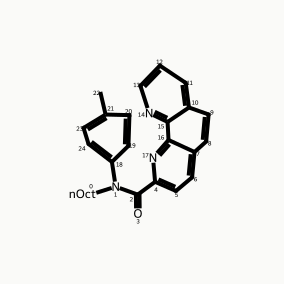 CCCCCCCCN(C(=O)c1ccc2ccc3cccnc3c2n1)c1ccc(C)cc1